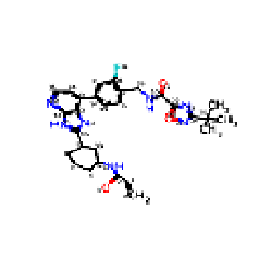 C=CC(=O)NC1CCCC(c2nc3c(-c4ccc(CNC(=O)c5nc(C(C)(C)C)no5)c(F)c4)ccnc3[nH]2)C1